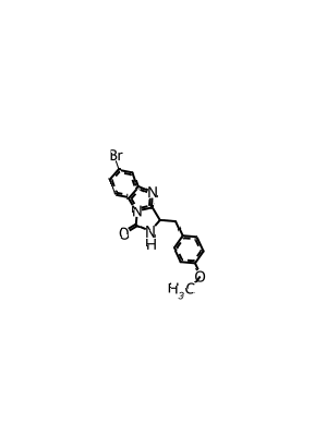 COc1ccc(CC2NC(=O)n3c2nc2cc(Br)ccc23)cc1